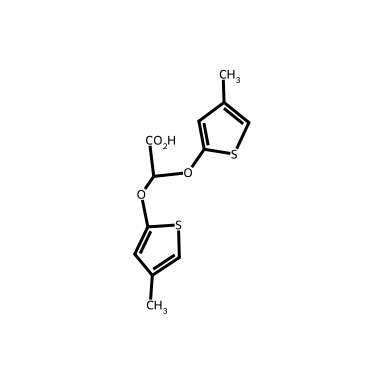 Cc1csc(OC(Oc2cc(C)cs2)C(=O)O)c1